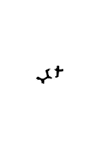 CC1(C)CNC(C(=O)C=O)CO1